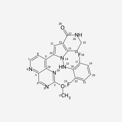 COc1ncc2nccc(-c3cc4c(n3Nc3c(F)cccc3F)CCNC4=O)c2n1